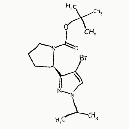 CC(C)n1cc(Br)c([C@H]2CCCN2C(=O)OC(C)(C)C)n1